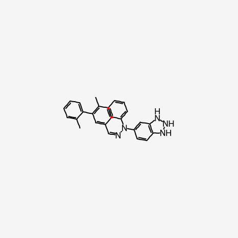 Cc1ccccc1-c1cc(/C=N\N(c2ccccc2)c2ccc3c(c2)NNN3)ccc1C